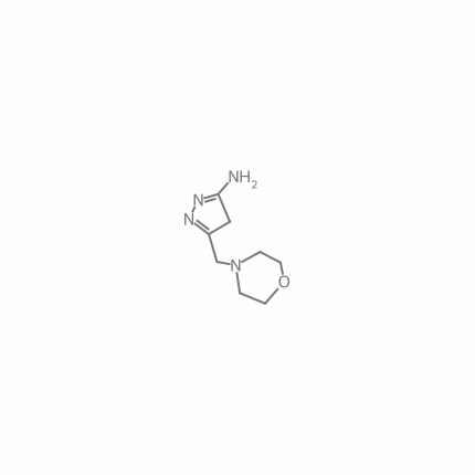 NC1=NN=C(CN2CCOCC2)C1